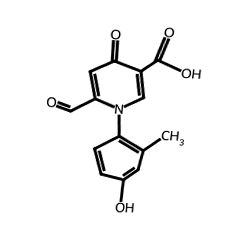 Cc1cc(O)ccc1-n1cc(C(=O)O)c(=O)cc1C=O